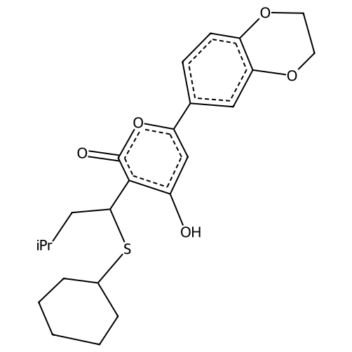 CC(C)CC(SC1CCCCC1)c1c(O)cc(-c2ccc3c(c2)OCCO3)oc1=O